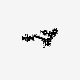 NC(=O)[C@@H]1C[C@@H](Oc2cc(-c3ccc(F)cc3)nc3c2oc2ccccc23)CN1C(=O)CCCCCC/C=C\[C@@H]1C[C@@H]1C(=O)NS(=O)(=O)C1CC1